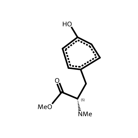 CN[C@@H](Cc1ccc(O)cc1)C(=O)OC